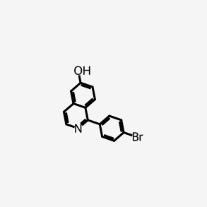 Oc1ccc2c(-c3ccc(Br)cc3)nccc2c1